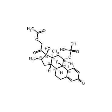 CC(=O)OCC(=O)[C@@]1(O)[C@H](C)C[C@H]2[C@@H]3CCC4=CC(=O)C=C[C@]4(C)[C@@]3(F)[C@@H](OP(=O)(O)O)C[C@@]21C